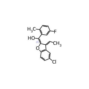 CC=c1/c(=C(/O)c2cc(F)ccc2C)oc2ccc(Cl)cc12